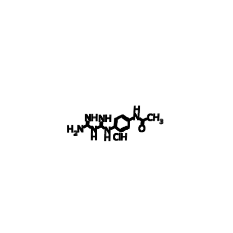 CC(=O)Nc1ccc(NC(=N)NC(=N)N)cc1.Cl